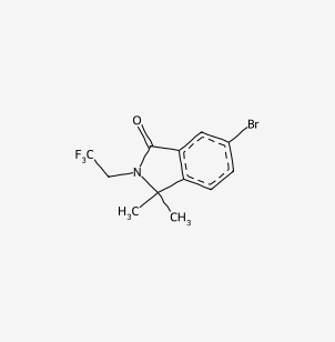 CC1(C)c2ccc(Br)cc2C(=O)N1CC(F)(F)F